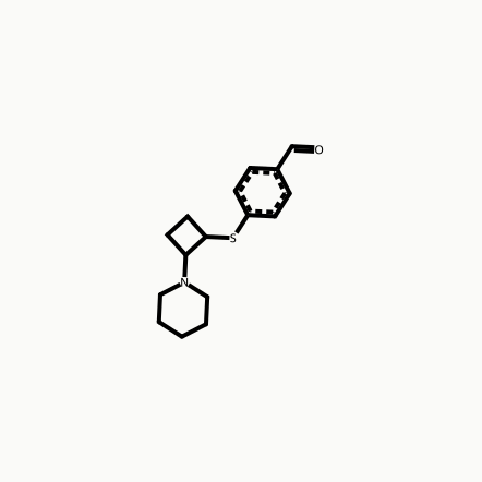 O=Cc1ccc(SC2CCC2N2CCCCC2)cc1